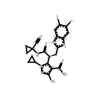 Cc1nn(C2CC2)c([C@H](Cc2nc3cc(F)c(F)cc3o2)C(=O)NC2(C#N)CC2)c1C(N)=O